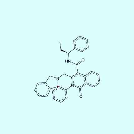 CC[C@H](NC(=O)c1c(CN2Cc3ccccc3C2)n(-c2ccccc2)c(=O)c2ccccc12)c1ccccc1